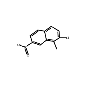 Cc1c(Cl)ccc2ccc([N+](=O)[O-])cc12